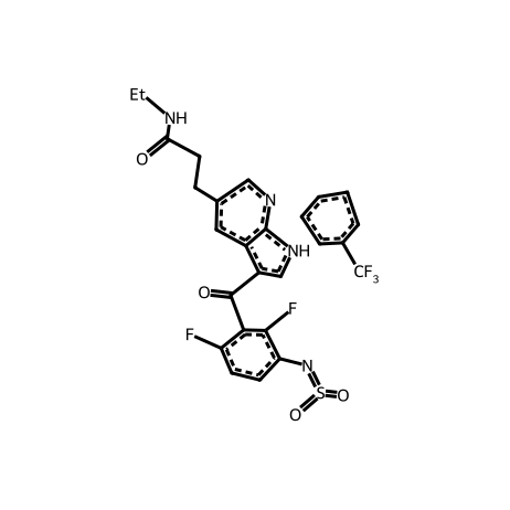 CCNC(=O)CCc1cnc2[nH]cc(C(=O)c3c(F)ccc(N=S(=O)=O)c3F)c2c1.FC(F)(F)c1ccccc1